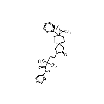 CN(C)[C@]1(c2ccccc2)CC[C@]2(CC1)CC(=O)N(CCC(C)(C)C(=O)Nc1ccncn1)C2